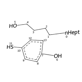 CCCCCCCCCCCO.Oc1ccc(S)cc1